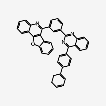 C1=CCCC(c2ccc(-c3nc(-c4cccc(-c5nc6ccccc6c6oc7ccccc7c56)c4)nc4ccccc34)cc2)=C1